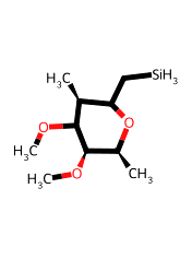 COC1[C@@H](C)C(C[SiH3])O[C@@H](C)[C@H]1OC